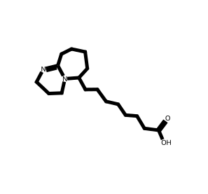 O=C(O)CCCCCCCC1CCCCC2=NCCCN21